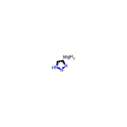 [MgH2].c1c[nH]nn1